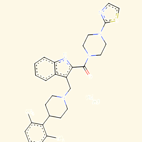 Cc1cccc(C)c1C1CCN(Cc2c(C(=O)N3CCN(c4nccs4)CC3)[nH]c3ccccc23)CC1.Cl.Cl